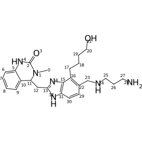 CN1C(=O)Nc2ccccc2C1Cc1nc2c(CCCCO)c(CNCCCN)ccc2[nH]1